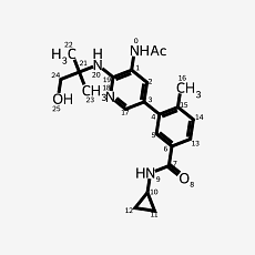 CC(=O)Nc1cc(-c2cc(C(=O)NC3CC3)ccc2C)cnc1NC(C)(C)CO